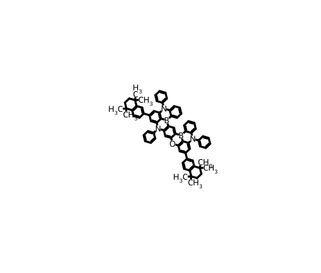 CC1(C)CCC(C)(C)c2cc(-c3cc4c5c(c3)N(c3ccccc3)c3ccccc3B5c3cc5c(cc3O4)N(c3ccccc3)c3cc(-c4ccc6c(c4)C(C)(C)CCC6(C)C)cc4c3B5c3ccccc3N4c3ccccc3)ccc21